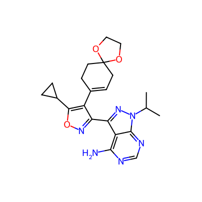 CC(C)n1nc(-c2noc(C3CC3)c2C2=CCC3(CC2)OCCO3)c2c(N)ncnc21